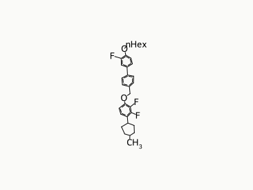 CCCCCCOc1ccc(-c2ccc(COc3ccc(C4CCC(C)CC4)c(F)c3F)cc2)cc1F